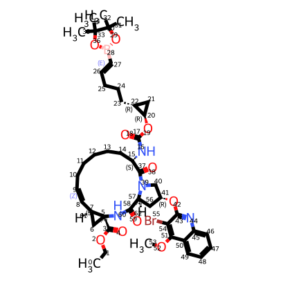 CCOC(=O)[C@@]12C[C@H]1/C=C\CCCCC[C@H](NC(=O)O[C@@H]1C[C@H]1CCC/C=C/B1OC(C)(C)C(C)(C)O1)C(=O)N1C[C@H](Oc3nc4ccccc4c(OC)c3Br)C[C@H]1C(=O)N2